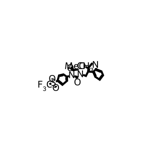 COc1cnc2ccccc2c1CN1C(=O)N(c2ccc(S(=O)(=O)C(F)(F)F)cc2)C(=O)C1C